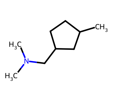 CC1CCC(CN(C)C)C1